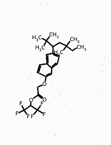 CCC(C)(C)CC(c1ccc2cc(OCC(=O)OC(C(F)(F)F)C(F)(F)F)ccc2c1)C(C)(C)C